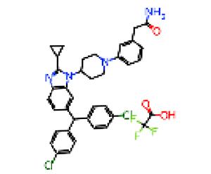 NC(=O)Cc1cccc(N2CCC(n3c(C4CC4)nc4ccc(C(c5ccc(Cl)cc5)c5ccc(Cl)cc5)cc43)CC2)c1.O=C(O)C(F)(F)F